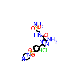 CN1CCN(S(=O)(=O)c2ccc(-c3cnc(N)c(C(=O)NCCS(N)(=O)=O)n3)cc2)CC1.Cl